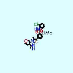 COc1ccc(-c2sc(NC(C)C3CCOCC3)nc2C)cc1S(=O)(=O)Nc1ccccc1Cl